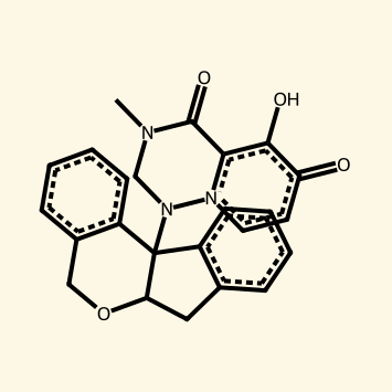 CN1CN(C23c4ccccc4COC2Cc2ccccc23)n2ccc(=O)c(O)c2C1=O